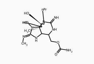 CCCC1[C@H](O)[C@](C)(O)C23C(N/C(=N\C)N2O)C(COC(N)=O)NC(=N)N13